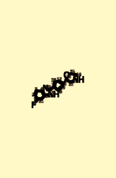 Fc1ccc2nc(-c3ccc([C@@H]4CNCCO4)cc3)[nH]c2c1